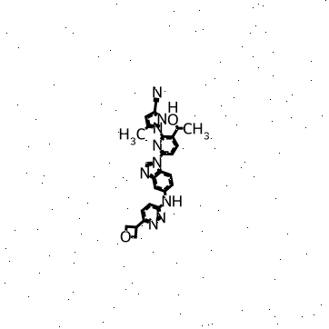 Cc1cc(C#N)nn1-c1nc(-n2cnc3cc(Nc4ccc(C5COC5)nn4)ccc32)ccc1C(C)O